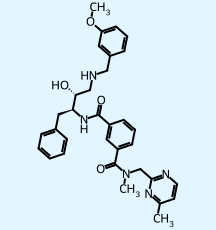 COc1cccc(CNC[C@@H](O)[C@H](Cc2ccccc2)NC(=O)c2cccc(C(=O)N(C)Cc3nccc(C)n3)c2)c1